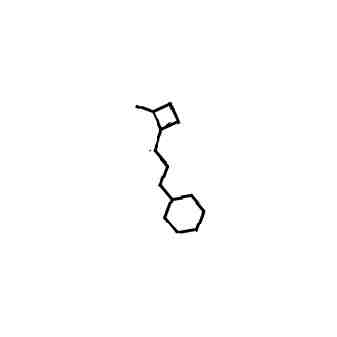 CC1CCC1[CH]CCC1CCCCC1